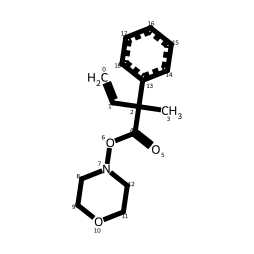 C=CC(C)(C(=O)ON1CCOCC1)c1ccccc1